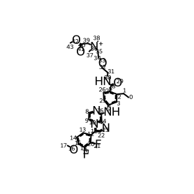 CCc1cc(Nc2nccn3c(-c4ccc(OC)c(F)c4F)cnc23)ccc1C(=O)NCCOCC[N+](C)(C)CC(=O)OC